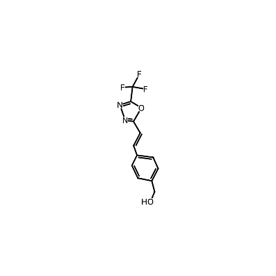 OCc1ccc(C=Cc2nnc(C(F)(F)F)o2)cc1